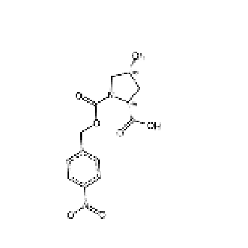 O=C(O)[C@H]1C[C@@H](O)CN1C(=O)OCc1ccc([N+](=O)[O-])cc1